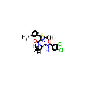 Cc1cccc(-c2sc(C)nc2C(=O)N2[C@H](CNC(=O)c3ccc(Cl)c(Cl)c3)C[C@@H]3C[C@@H]32)c1